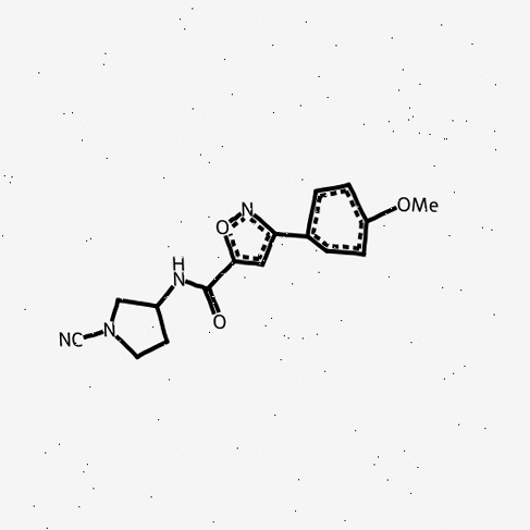 COc1ccc(-c2cc(C(=O)NC3CCN(C#N)C3)on2)cc1